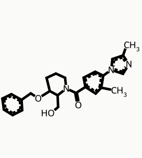 Cc1cn(-c2ccc(C(=O)N3CCCC(OCc4ccccc4)C3CO)cc2C)cn1